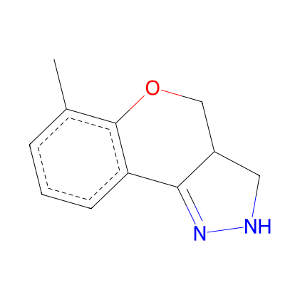 Cc1cccc2c1OCC1CNN=C21